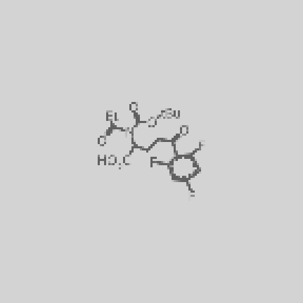 CCC(=O)N(C(=O)OC(C)(C)C)C(CCC(=O)c1c(F)cc(F)cc1F)C(=O)O